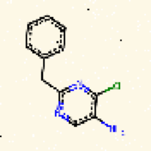 Nc1cnc(Cc2ccccc2)nc1Cl